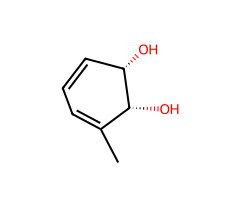 CC1=CC=C[C@H](O)[C@@H]1O